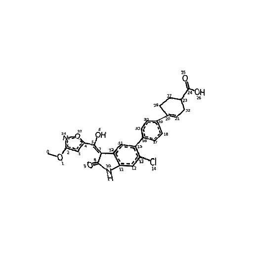 COc1cc(C(O)=C2C(=O)Nc3cc(Cl)c(-c4ccc(C5=CCC(C(=O)O)CC5)cc4)cc32)on1